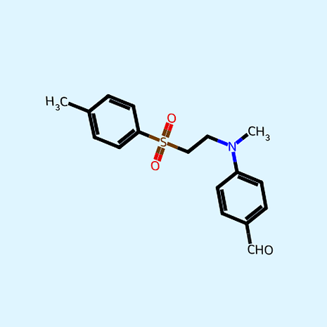 Cc1ccc(S(=O)(=O)CCN(C)c2ccc(C=O)cc2)cc1